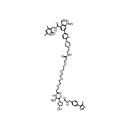 Cc1cc(C)c(CNC(=O)c2cc(-c3ccc(N4CCN(CCNC(=O)CCOCCOCCOCCOCCC(=O)NC(C(=O)N5C[C@H](O)C[C@H]5C(=O)NCc5ccc(-c6scnc6C)cc5)C(C)(C)C)CC4)nc3)cc(NC(C)C)c2C=N)c(=O)[nH]1